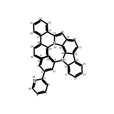 c1ccc(-c2cccc(-n3c4ccccc4c4ccc5cc6c7ccccc7c7ccccc7n6c5c43)c2)nc1